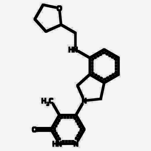 Cc1c(N2Cc3cccc(NCC4CCCO4)c3C2)cn[nH]c1=O